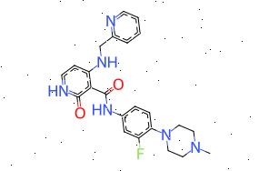 CN1CCN(c2ccc(NC(=O)c3c(NCc4ccccn4)cc[nH]c3=O)cc2F)CC1